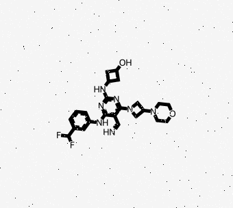 N=Cc1c(Nc2cccc(C(F)F)c2)nc(NC2CC(O)C2)nc1N1CC(N2CCOCC2)C1